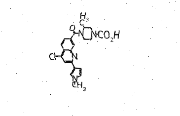 CC1CN(C(=O)O)CCN1C(=O)c1ccc2c(Cl)cc(-c3ccn(C)c3)nc2c1